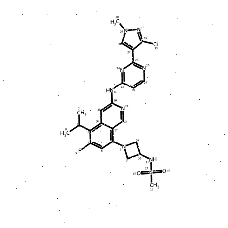 CC(C)c1c(F)cc(N2CC(NS(C)(=O)=O)C2)c2cnc(Nc3ccnc(-c4cn(C)nc4Cl)n3)cc12